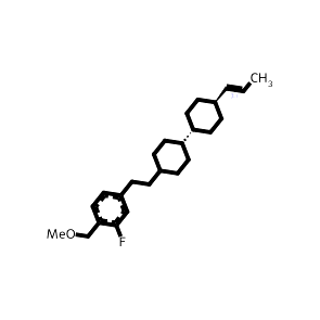 C/C=C/[C@H]1CC[C@H](C2CCC(CCc3ccc(COC)c(F)c3)CC2)CC1